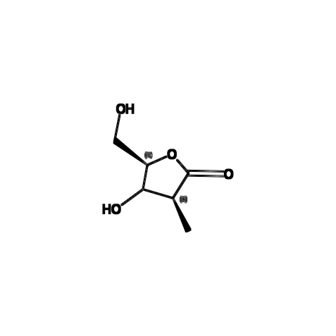 C[C@@H]1C(=O)O[C@H](CO)C1O